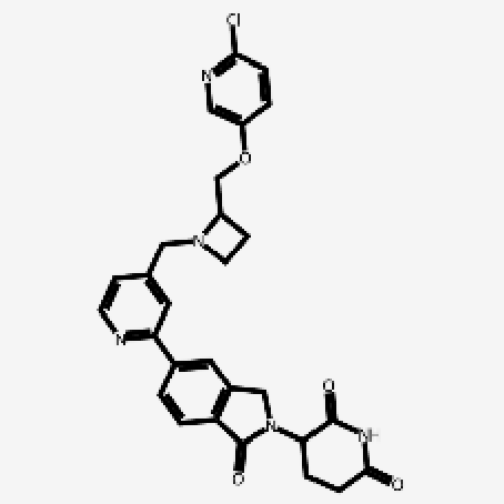 O=C1CCC(N2Cc3cc(-c4cc(CN5CCC5COc5ccc(Cl)nc5)ccn4)ccc3C2=O)C(=O)N1